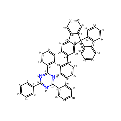 c1ccc(-c2nc(-c3ccccc3)nc(-c3ccccc3-c3ccc(-c4ccc5c(c4)C(c4ccccc4)(c4ccccc4)c4ccccc4-5)cc3)n2)cc1